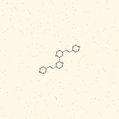 C(=Cc1ccnc(-c2cc(C=Cc3ccncc3)ccn2)c1)c1ccncc1